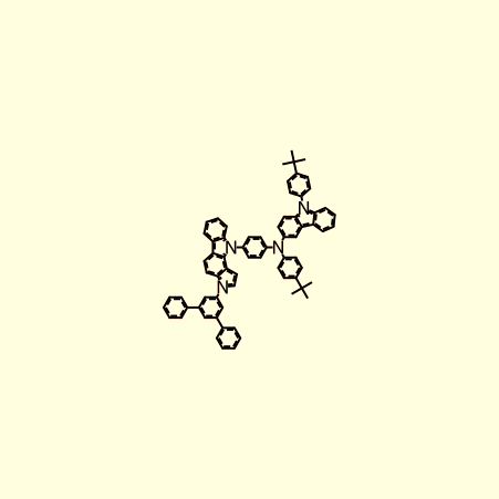 CC(C)(C)c1ccc(N(c2ccc(-n3c4ccccc4c4ccc5c(ccn5-c5cc(-c6ccccc6)cc(-c6ccccc6)c5)c43)cc2)c2ccc3c(c2)c2ccccc2n3-c2ccc(C(C)(C)C)cc2)cc1